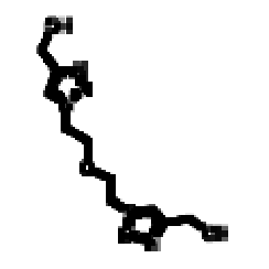 OCc1cn(CCOCCn2cc(CO)nn2)nn1